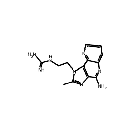 Cc1nc2c(N)nc3cccnc3c2n1CCNC(=N)N